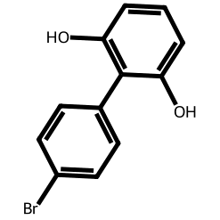 Oc1cccc(O)c1-c1ccc(Br)cc1